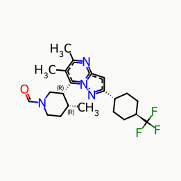 Cc1nc2cc([C@H]3CC[C@H](C(F)(F)F)CC3)nn2c([C@H]2CN(C=O)CC[C@H]2C)c1C